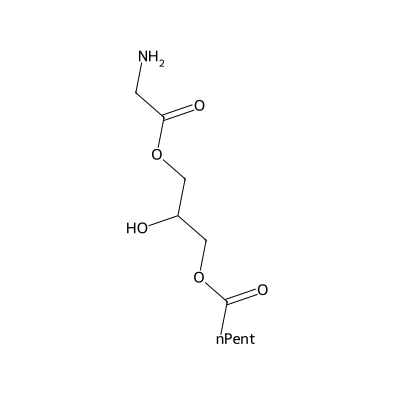 CCCCCC(=O)OCC(O)COC(=O)CN